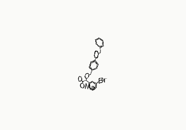 COC(=O)C(OCc1ccc(OCc2ccccc2)cc1)c1cccc(Br)c1